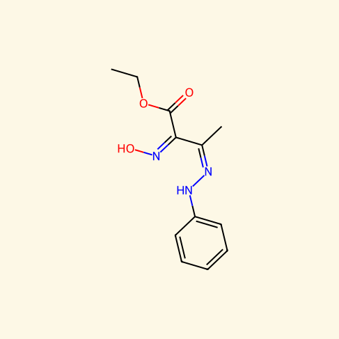 CCOC(=O)C(=NO)C(C)=NNc1ccccc1